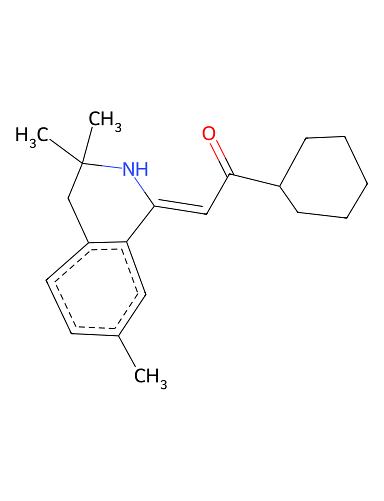 Cc1ccc2c(c1)/C(=C/C(=O)C1CCCCC1)NC(C)(C)C2